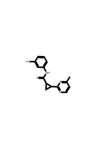 Cc1ccnc(C2CC2C(=O)Nc2cccc(S)c2)n1